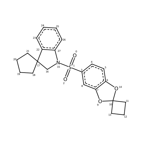 O=S(=O)(c1ccc2c(c1)OC1(CCC1)O2)N1CC2(CCCC2)c2ccccc21